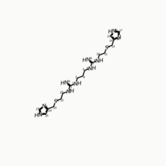 N=C(NCCCNC(=N)NCCSCc1c[nH]cn1)NCCSCc1c[nH]cn1